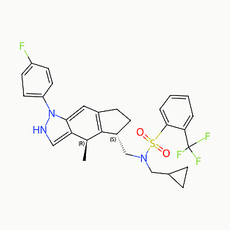 C[C@H]1C2=CNN(c3ccc(F)cc3)C2=CC2=C1[C@@H](CN(CC1CC1)S(=O)(=O)c1ccccc1C(F)(F)F)CC2